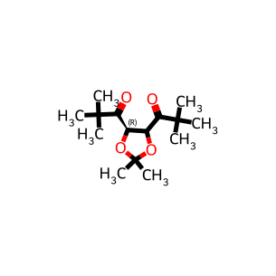 CC1(C)OC(C(=O)C(C)(C)C)[C@H](C(=O)C(C)(C)C)O1